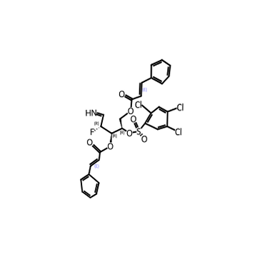 N=C[C@@H](F)[C@H](OC(=O)/C=C/c1ccccc1)[C@@H](COC(=O)/C=C/c1ccccc1)OS(=O)(=O)c1cc(Cl)c(Cl)cc1Cl